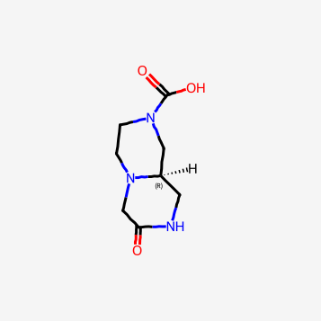 O=C1CN2CCN(C(=O)O)C[C@H]2CN1